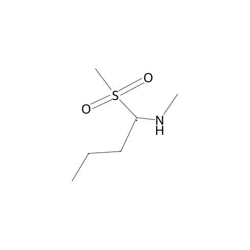 CCC[C](NC)S(C)(=O)=O